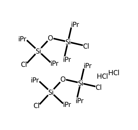 CC(C)[Si](Cl)(O[Si](Cl)(C(C)C)C(C)C)C(C)C.CC(C)[Si](Cl)(O[Si](Cl)(C(C)C)C(C)C)C(C)C.Cl.Cl